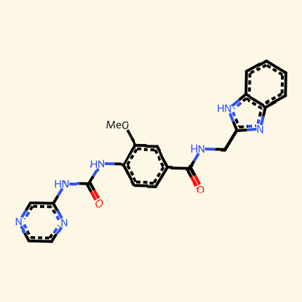 COc1cc(C(=O)NCc2nc3ccccc3[nH]2)ccc1NC(=O)Nc1cnccn1